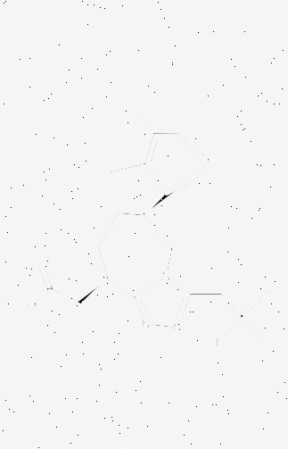 O=C(O)C[C@H]1CC[C@@H](c2cccc(F)c2F)Cn2c(CC(F)(F)F)nnc21